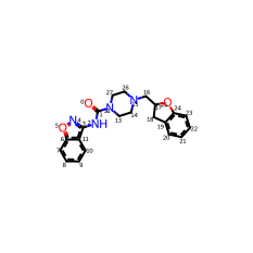 O=C(Nc1noc2ccccc12)N1CCN(CC2Cc3ccccc3O2)CC1